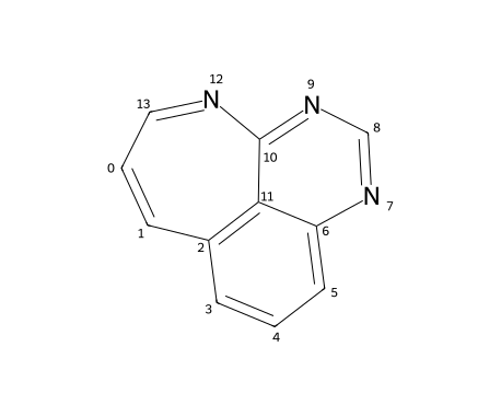 C1=Cc2cccc3ncnc(c23)N=C1